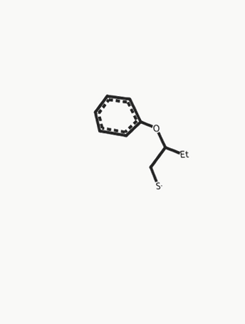 CCC(C[S])Oc1ccccc1